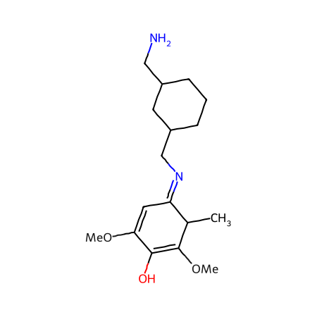 COC1=C/C(=N\CC2CCCC(CN)C2)C(C)C(OC)=C1O